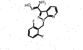 N/C(=N\O)c1nn(Cc2c(F)cccc2F)c2ncccc12